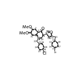 COc1cc2c(=O)c(-c3noc(Cc4ccc(C)cc4)n3)cn(Cc3ccc(Cl)cc3)c2cc1OC